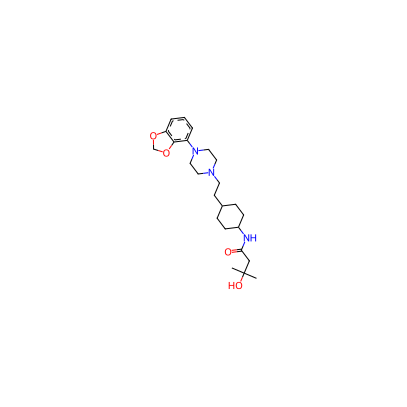 CC(C)(O)CC(=O)NC1CCC(CCN2CCN(c3cccc4c3OCO4)CC2)CC1